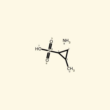 CC1CC1S(=O)(=O)O.N